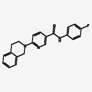 O=C(Nc1ccc(F)cc1)c1ccc(N2CCc3ccccc3C2)nc1